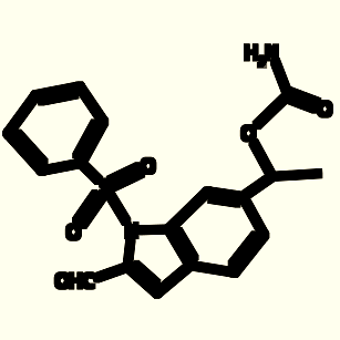 CC(OC(N)=O)c1ccc2cc(C=O)n(S(=O)(=O)c3ccccc3)c2c1